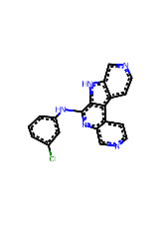 Clc1cccc(Nc2nc3cnccc3c3c2[nH]c2cnccc23)c1